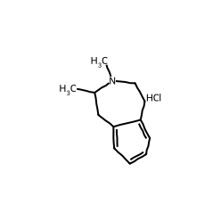 CC1Cc2ccccc2CCN1C.Cl